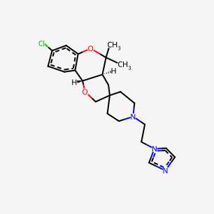 CC1(C)Oc2cc(Cl)ccc2[C@H]2OCC3(CCN(CCn4ccnc4)CC3)C[C@@H]21